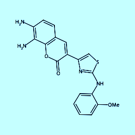 COc1ccccc1Nc1nc(-c2cc3ccc(N)c(N)c3oc2=O)cs1